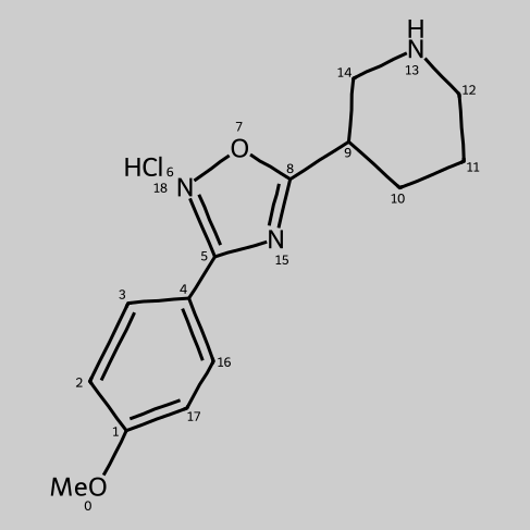 COc1ccc(-c2noc(C3CCCNC3)n2)cc1.Cl